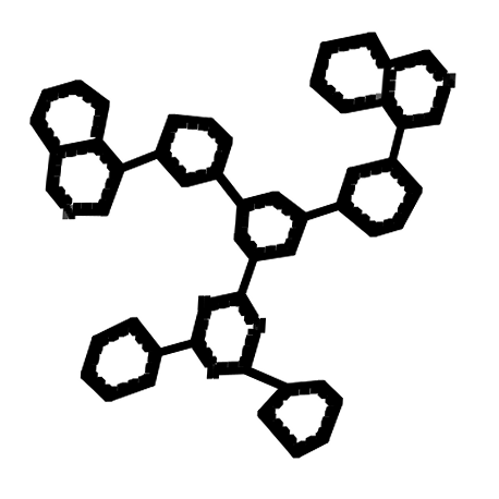 c1ccc(-c2nc(-c3ccccc3)nc(-c3cc(-c4cccc(-c5cncc6ccccc56)c4)cc(-c4cccc(-c5cncc6ccccc56)c4)c3)n2)cc1